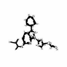 CC(C)C(C)Sc1ccc2c(-c3ccccc3)nn(-c3nc(OC=O)cs3)c2n1